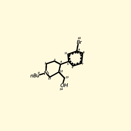 CCCCN1CCC(c2cccc(Br)c2)C(CO)C1